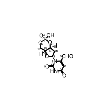 O=Cc1cc(=O)[nH]c(=O)n1[C@H]1C[C@@H]2OP(=O)(O)OC[C@H]2O1